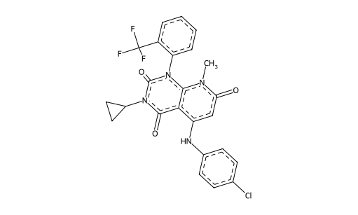 Cn1c(=O)cc(Nc2ccc(Cl)cc2)c2c(=O)n(C3CC3)c(=O)n(-c3ccccc3C(F)(F)F)c21